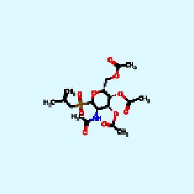 C=C(C)CS(=O)(=O)C1O[C@H](COC(C)=O)[C@H](OC(C)=O)[C@H](OC(C)=O)[C@H]1NC(C)=O